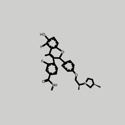 CNC(=O)c1ccc(C2=C(C)c3c(ccc(O)c3F)OC2c2ccc(OC[C@H](C)N3CC[C@@H](C)C3)cc2)c(F)c1